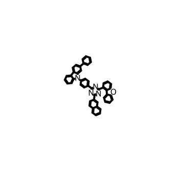 c1ccc(-c2ccc3c4ccccc4n(-c4ccc(-c5nc(-c6ccc7ccccc7c6)nc(-c6cccc7oc8ccccc8c67)n5)cc4)c3c2)cc1